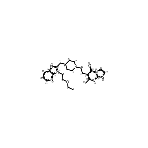 CCOCCn1c(CC2CCN(CCc3c(C)nc4sccn4c3=O)CC2)nc2cccnc21